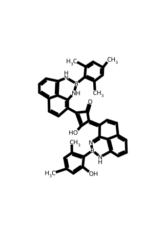 Cc1cc(C)c(B2Nc3cccc4ccc(C5=C(O)/C(=c6/ccc7cccc8c7c6=NB(c6c(C)cc(C)cc6O)N8)C5=O)c(c34)N2)c(C)c1